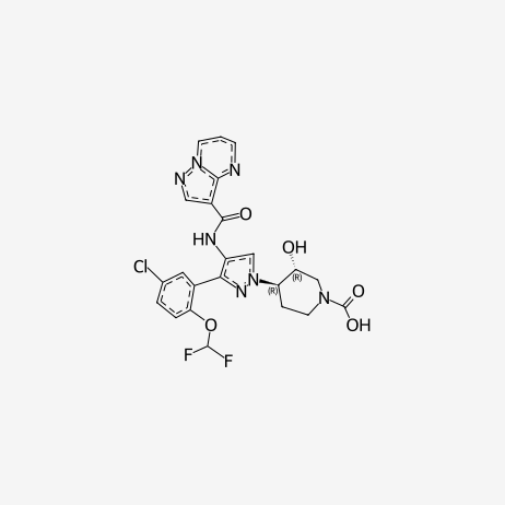 O=C(Nc1cn([C@@H]2CCN(C(=O)O)C[C@H]2O)nc1-c1cc(Cl)ccc1OC(F)F)c1cnn2cccnc12